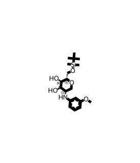 COc1cccc(N[C@H]2CO[C@@H](CO[Si](C)(C)C(C)(C)C)[C@H](O)[C@@H]2O)c1